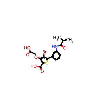 CC(C)C(=O)Nc1cccc(-c2sc(C(=O)O)c(OCC(=O)O)c2Br)c1